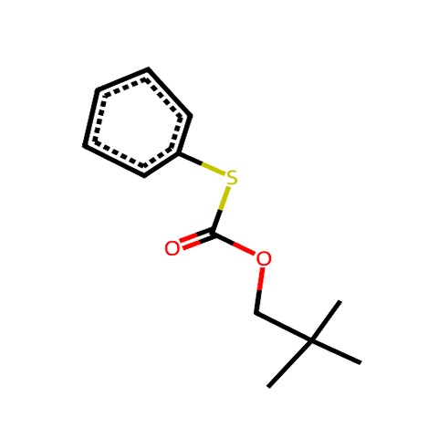 CC(C)(C)COC(=O)Sc1ccccc1